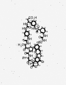 CCCCNC(=O)NC1=CC(S(=O)(=O)Nc2cccc(C(CC(=O)O)NC(=O)Nc3ccc(NC(=S)N[C@@H](C)C(=O)N4CCC[C@H]4C(=O)N[C@H](C(=O)O[C@]4(CC)C(=O)OCc5c4cc4n(c5=O)CC5C=c6ccccc6=NC45)C(C)C)cc3)c2)CC=C1